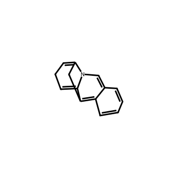 C1=C2CC3=c4ccccc4=CN2C3=CC1